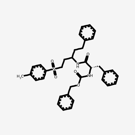 Cc1ccc(S(=O)(=O)CCC(CCc2ccccc2)NC(=O)[C@H](Cc2ccccc2)NC(=O)OCc2ccccc2)cc1